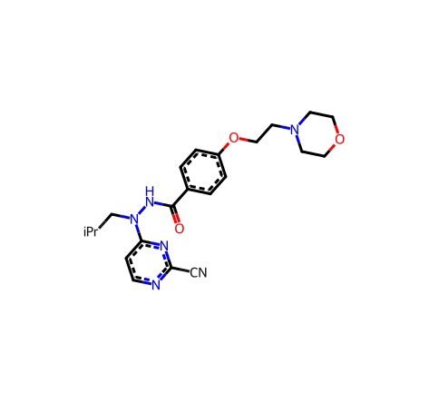 CC(C)CN(NC(=O)c1ccc(OCCN2CCOCC2)cc1)c1ccnc(C#N)n1